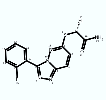 CC[C@@H](Sc1ccc2nnc(-c3ccccc3F)n2n1)C(N)=O